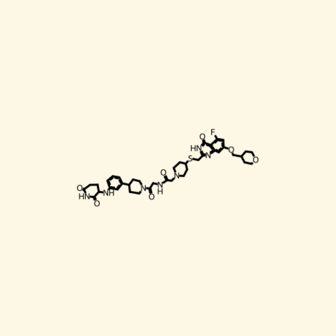 O=C(CN1CCC(SCc2nc3cc(OCC4CCOCC4)cc(F)c3c(=O)[nH]2)CC1)NCC(=O)N1CCC(c2cccc(NC3CCC(=O)NC3=O)c2)CC1